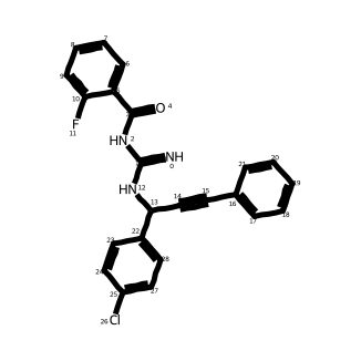 N=C(NC(=O)c1ccccc1F)NC(C#Cc1ccccc1)c1ccc(Cl)cc1